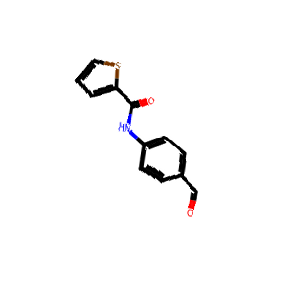 O=Cc1ccc(NC(=O)c2cccs2)cc1